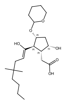 CCCCC(C)(C)CC=C(O)[C@@H]1[C@@H](CC(=O)O)[C@@H](O)C[C@H]1OC1CCCCO1